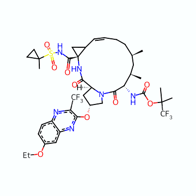 CCOc1ccc2nc(C(F)(F)F)c(O[C@@H]3C[C@H]4C(=O)N[C@]5(C(=O)NS(=O)(=O)C6(C)CC6)CC5/C=C\CC[C@@H](C)C[C@@H](C)[C@H](NC(=O)OC(C)(C)C(F)(F)F)C(=O)N4C3)nc2c1